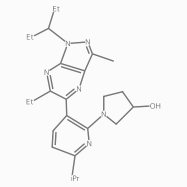 CCc1nc2c(nc1-c1ccc(C(C)C)nc1N1CCC(O)C1)c(C)nn2C(CC)CC